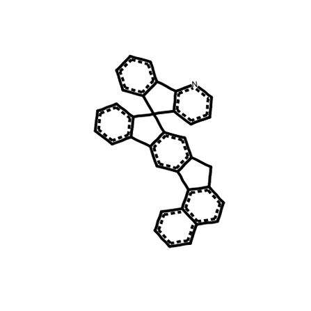 c1ccc2c(c1)-c1cc3c(cc1C21c2ccccc2-c2ncccc21)Cc1ccc2ccccc2c1-3